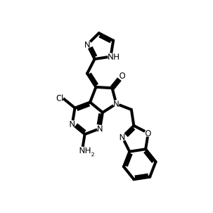 Nc1nc(Cl)c2c(n1)N(Cc1nc3ccccc3o1)C(=O)/C2=C\c1ncc[nH]1